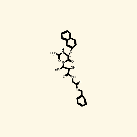 BC(=O)N[C@@H](Cc1ccc2ccccc2c1)C(=O)NC(CCC)C(O)C(=O)NCC(=O)OCc1ccccc1